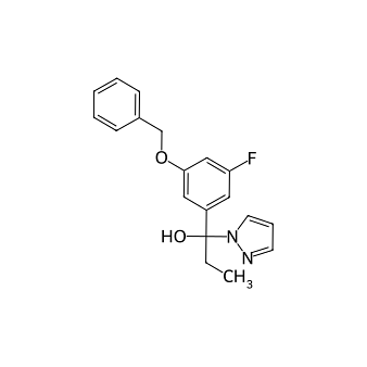 CCC(O)(c1cc(F)cc(OCc2ccccc2)c1)n1cccn1